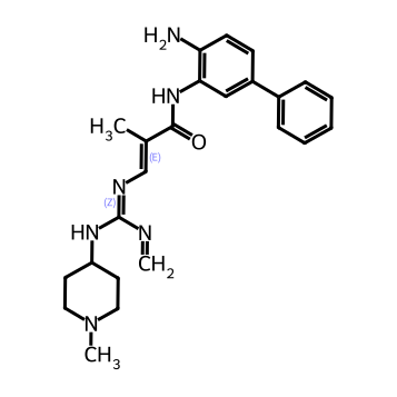 C=N/C(=N\C=C(/C)C(=O)Nc1cc(-c2ccccc2)ccc1N)NC1CCN(C)CC1